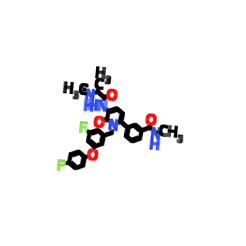 CNC(=O)c1cccc(-c2ccc(NC(=O)C(C)NC)c(=O)n2Cc2cc(F)cc(Oc3ccc(F)cc3)c2)c1